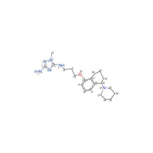 Cn1nc(N)nc1NCCCOc1cccc2c1CCCC2N1CCCCC1